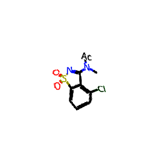 CC(=O)N(C)C1=NS(=O)(=O)c2cccc(Cl)c21